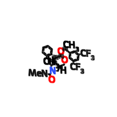 CNC(=O)N1C[C@H]2CO[C@H](O[C@H](C)c3cc(C(F)(F)F)cc(C(F)(F)F)c3)[C@@H](c3ccccc3C)[C@@H]2C1